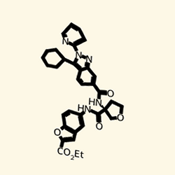 CCOC(=O)c1cc2cc(NC(=O)[C@]3(NC(=O)c4ccc5c(C6CCCCC6)n(-c6ccccn6)nc5c4)CCOC3)ccc2o1